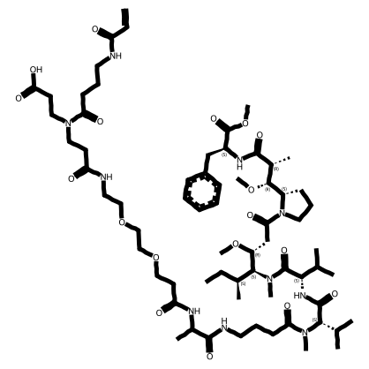 C=CC(=O)NCCCC(=O)N(CCC(=O)O)CCC(=O)NCCOCCOCCC(=O)NC(C)C(=O)NCCCC(=O)N(C)[C@H](C(=O)N[C@H](C(=O)N(C)[C@@H]([C@@H](C)CC)[C@@H](CC(=O)N1CCC[C@H]1[C@H](OC)[C@@H](C)C(=O)N[C@@H](Cc1ccccc1)C(=O)OC)OC)C(C)C)C(C)C